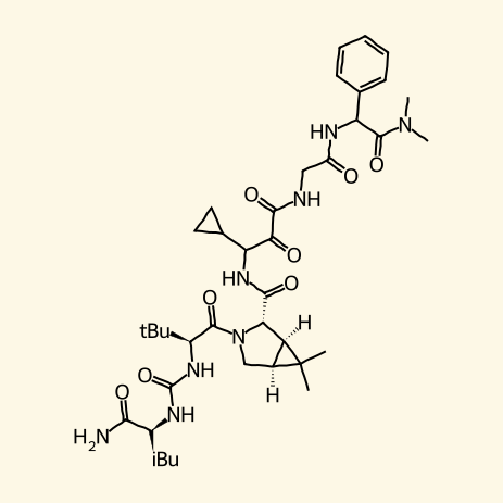 CC[C@H](C)[C@H](NC(=O)N[C@H](C(=O)N1C[C@H]2[C@@H]([C@H]1C(=O)NC(C(=O)C(=O)NCC(=O)NC(C(=O)N(C)C)c1ccccc1)C1CC1)C2(C)C)C(C)(C)C)C(N)=O